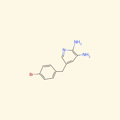 Nc1cc(Cc2ccc(Br)cc2)cnc1N